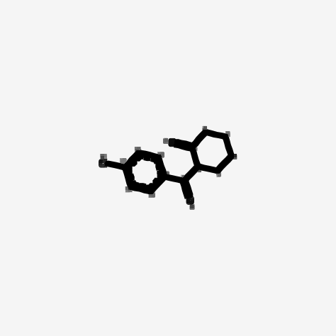 O=C1CCCCC1C(=O)c1ccc(Cl)cc1